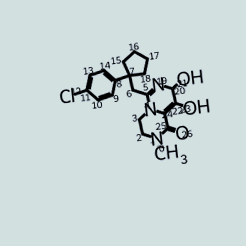 CN1CCN2C(CC3(c4ccc(Cl)cc4)CCCC3)=NC(O)C(O)=C2C1=O